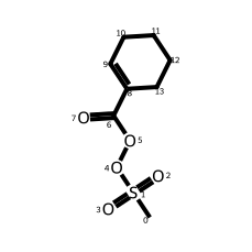 CS(=O)(=O)OOC(=O)C1=CCCCC1